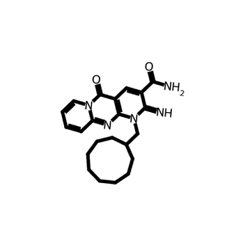 N=c1c(C(N)=O)cc2c(=O)n3ccccc3nc2n1CC1CCCCCCCC1